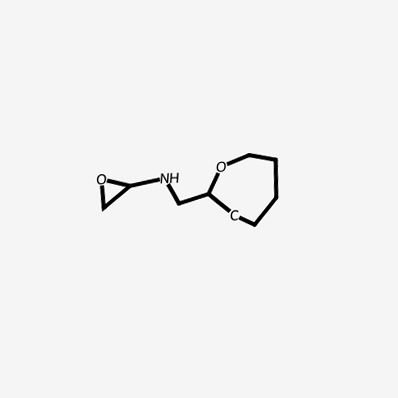 C1CCOC(CNC2CO2)CC1